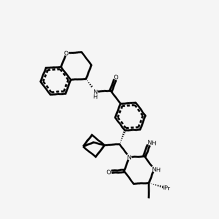 CC(C)[C@]1(C)CC(=O)N([C@@H](c2cccc(C(=O)N[C@H]3CCOc4ccccc43)c2)C23CC(C2)C3)C(=N)N1